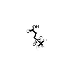 O=C(O)CCS(=O)(=O)C(F)(F)F